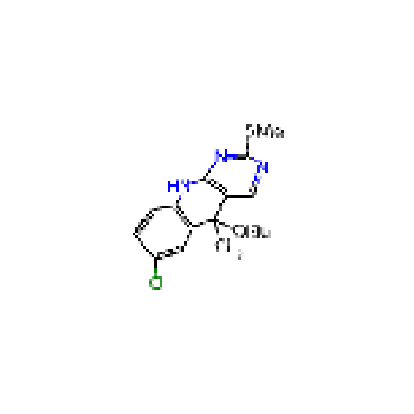 CSc1ncc2c(n1)Nc1ccc(Cl)cc1C2(OCC(C)C)C(F)(F)F